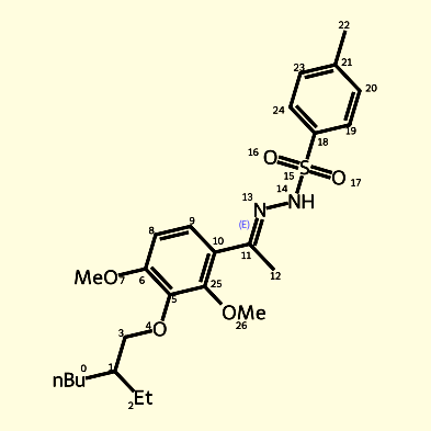 CCCCC(CC)COc1c(OC)ccc(/C(C)=N/NS(=O)(=O)c2ccc(C)cc2)c1OC